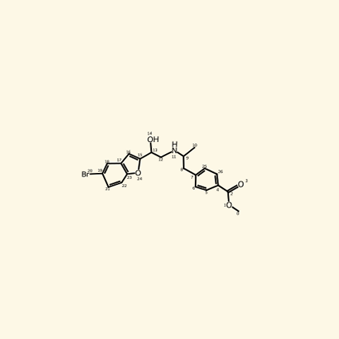 COC(=O)c1ccc(CC(C)NCC(O)c2cc3cc(Br)ccc3o2)cc1